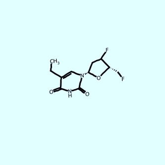 CCc1cn([C@@H]2CC(F)[C@H](CF)O2)c(=O)[nH]c1=O